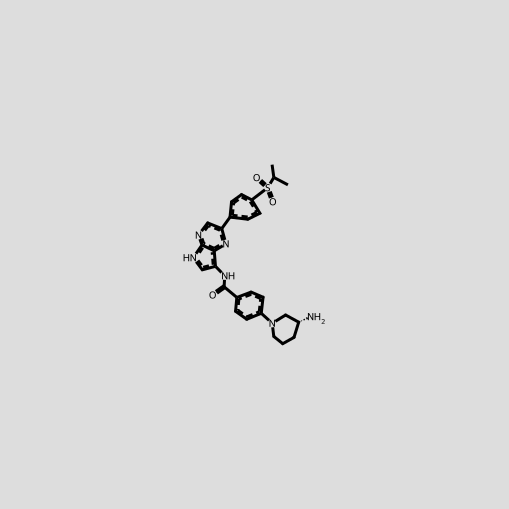 CC(C)S(=O)(=O)c1ccc(-c2cnc3[nH]cc(NC(=O)c4ccc(N5CCC[C@@H](N)C5)cc4)c3n2)cc1